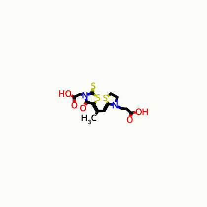 CC(C=C1SCCN1CCC(=O)O)=C1SC(=S)N(CC(=O)O)C1=O